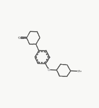 CC(C)(C)C1CCC(Oc2ccc(C3CCCC(=O)C3)cc2)CC1